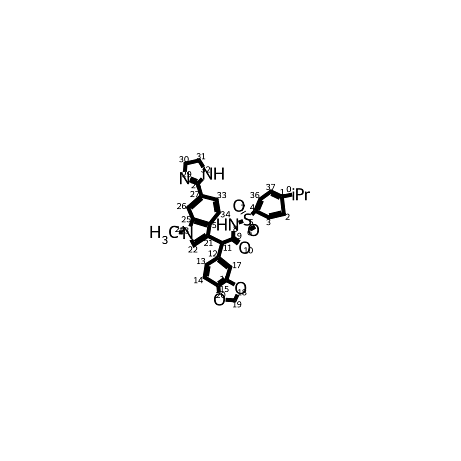 CC(C)c1ccc(S(=O)(=O)NC(=O)C(c2ccc3c(c2)OCO3)c2cn(C)c3cc(C4=NCCN4)ccc23)cc1